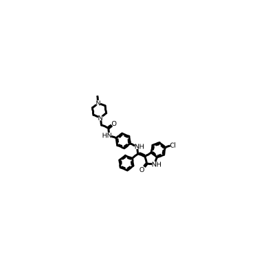 CN1CCN(CC(=O)Nc2ccc(NC(=C3C(=O)Nc4cc(Cl)ccc43)c3ccccc3)cc2)CC1